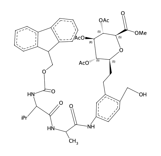 COC(=O)[C@H]1O[C@@H](CCc2cc(NC(=O)C(C)NC(=O)C(NC(=O)OCC3c4ccccc4-c4ccccc43)C(C)C)ccc2CO)[C@H](OC(C)=O)[C@@H](OC(C)=O)[C@@H]1OC(C)=O